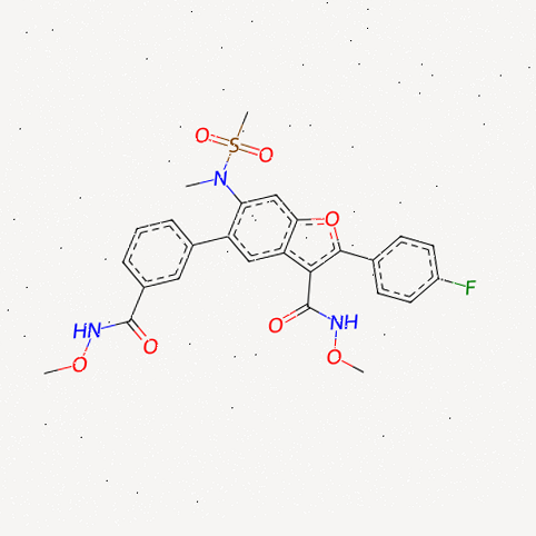 CONC(=O)c1cccc(-c2cc3c(C(=O)NOC)c(-c4ccc(F)cc4)oc3cc2N(C)S(C)(=O)=O)c1